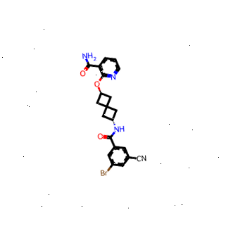 N#Cc1cc(Br)cc(C(=O)N[C@H]2CC3(C2)C[C@H](Oc2ncccc2C(N)=O)C3)c1